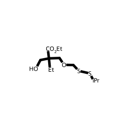 CCOC(=O)C(CC)(CO)COCSSC(C)C